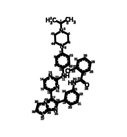 CC(C)N1CCN(c2ccc(Nc3nccc(-c4c(-c5cccc(NC(=O)c6ccccc6Cl)c5)nc5sccn45)n3)cc2)CC1